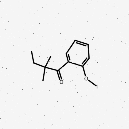 CCC(C)(C)C(=O)c1ccccc1OI